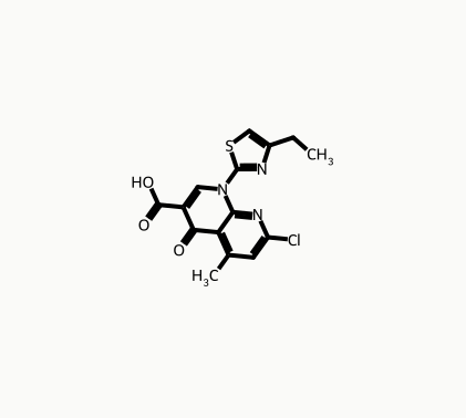 CCc1csc(-n2cc(C(=O)O)c(=O)c3c(C)cc(Cl)nc32)n1